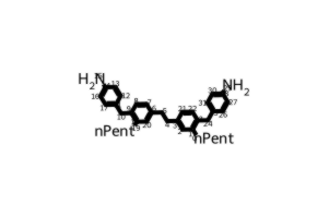 CCCCCc1cc(CCc2ccc(Cc3ccc(N)cc3)c(CCCCC)c2)ccc1Cc1ccc(N)cc1